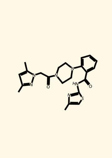 Cc1csc(NC(=O)c2ccccc2N2CCN(C(=O)Cn3nc(C)cc3C)CC2)n1